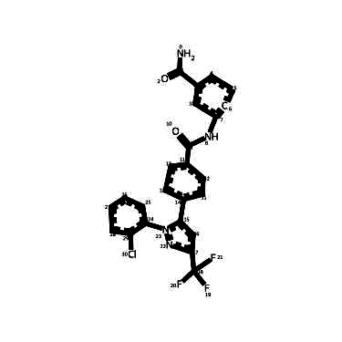 NC(=O)c1cccc(NC(=O)c2ccc(-c3cc(C(F)(F)F)nn3-c3ccccc3Cl)cc2)c1